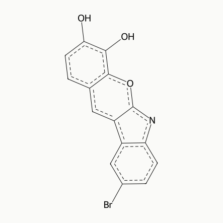 Oc1ccc2cc3c4cc(Br)ccc4nc-3oc2c1O